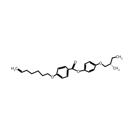 C=CCCCCCOc1ccc(C(=O)Oc2ccc(OC[C@@H](C)CC)cc2)cc1